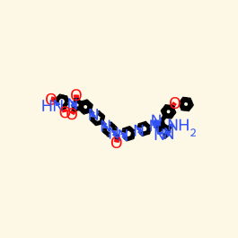 Nc1ncnc2c1c(-c1ccc(Oc3ccccc3)cc1)nn2C1CCN(C2CCN(C(=O)N3CCN(C4CCN(c5ccc6c(c5)C(=O)N(C5CCC(=O)NC5=O)C6=O)CC4)CC3)CC2)CC1